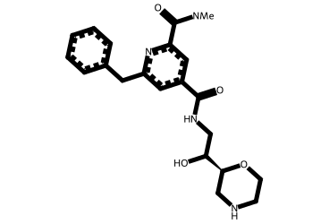 CNC(=O)c1cc(C(=O)NCC(O)[C@@H]2CNCCO2)cc(Cc2ccccc2)n1